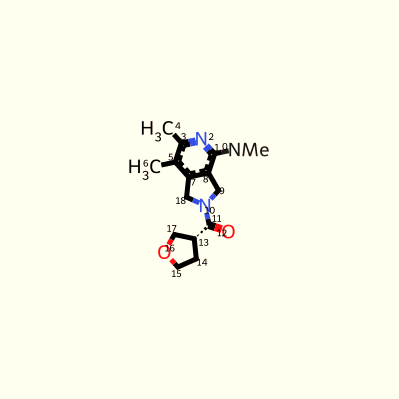 CNc1nc(C)c(C)c2c1CN(C(=O)[C@@H]1CCOC1)C2